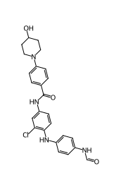 O=CNc1ccc(Nc2ccc(NC(=O)c3ccc(N4CCC(O)CC4)cc3)cc2Cl)cc1